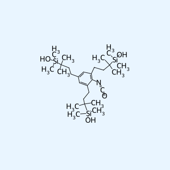 CC(C)(CCc1cc(CCC(C)(C)[Si](C)(C)O)c(N=C=O)c(CCC(C)(C)[Si](C)(C)O)c1)[Si](C)(C)O